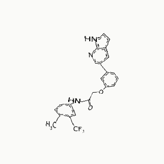 Cc1ccc(NC(=O)COc2cccc(-c3cnc4[nH]ccc4c3)c2)cc1C(F)(F)F